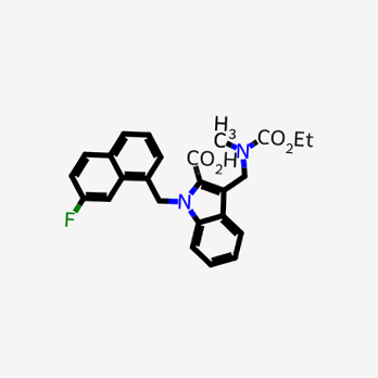 CCOC(=O)N(C)Cc1c(C(=O)O)n(Cc2cccc3ccc(F)cc23)c2ccccc12